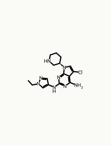 CCn1cc(Nc2nc(N)c3c(Cl)cn([C@@H]4CCCNC4)c3n2)cn1